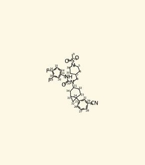 CS(=O)(=O)N1CCC(CN(C(=O)Nc2ccc(F)c(F)c2)C2CCC3(c4cccc(C#N)c4)CC3C2)CC1